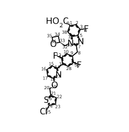 O=C(O)c1cc(F)c2nc(Cc3cc(F)c(-c4cccc(OCc5ccc(Cl)s5)n4)cc3F)n(C[C@@H]3CCO3)c2c1